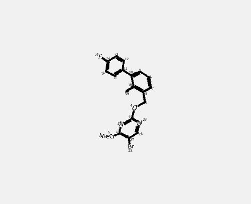 COc1nc(OCc2cccc(-c3ccc(F)cc3)c2C)ncc1Br